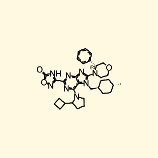 C[C@H]1CC[C@H](Cn2c(N3CCOC[C@H]3c3ccccc3)nc3nc(-c4noc(=O)[nH]4)nc(N4CCCC4C4CCC4)c32)CC1